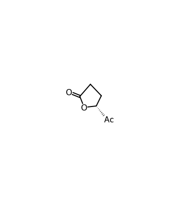 CC(=O)[C@H]1CCC(=O)O1